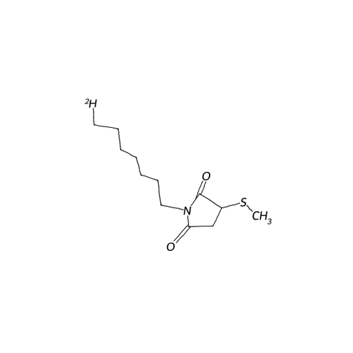 [2H]CCCCCCCN1C(=O)CC(SC)C1=O